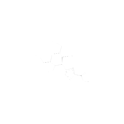 COC(=O)c1cn(C2C(OC(C)=O)C(COC(C)=O)OC(COC(C)=O)C2OC(C)=O)nn1